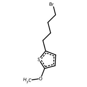 COc1ccc(CCCCBr)s1